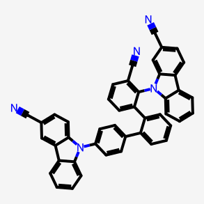 N#Cc1ccc2c(c1)c1ccccc1n2-c1ccc(-c2ccccc2-c2cccc(C#N)c2-n2c3ccccc3c3ccc(C#N)cc32)cc1